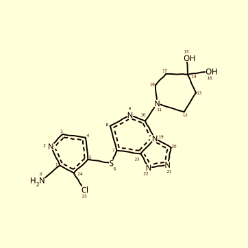 Nc1nccc(Sc2cnc(N3CCC(O)(O)CC3)n3cnnc23)c1Cl